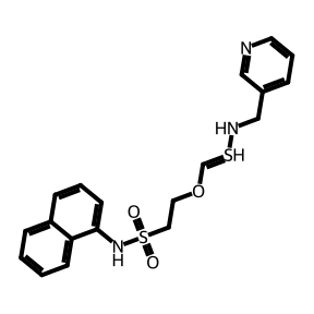 O=S(=O)(CCOC=[SH]NCc1cccnc1)Nc1cccc2ccccc12